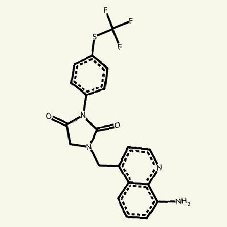 Nc1cccc2c(CN3CC(=O)N(c4ccc(SC(F)(F)F)cc4)C3=O)ccnc12